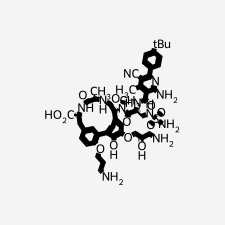 Cc1c(C#N)c(-c2ccc(C(C)(C)C)cc2)nc(N)c1C(=O)N[C@@H](CNS(N)(=O)=O)C(=O)N(C)[C@@H]1C(=O)N[C@@H](C)C(=O)N[C@H](C(=O)O)Cc2ccc(OCCCN)c(c2)-c2cc1cc(OC[C@H](O)CN)c2O